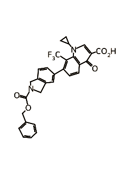 O=C(O)c1cn(C2CC2)c2c(C(F)(F)F)c(-c3ccc4c(c3)CN(C(=O)OCc3ccccc3)C4)ccc2c1=O